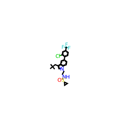 CC(C)(C)Cc1cn(CCN[S+]([O-])C2CC2)c2ccc(-c3ccc(C(F)(F)F)cc3Cl)cc12